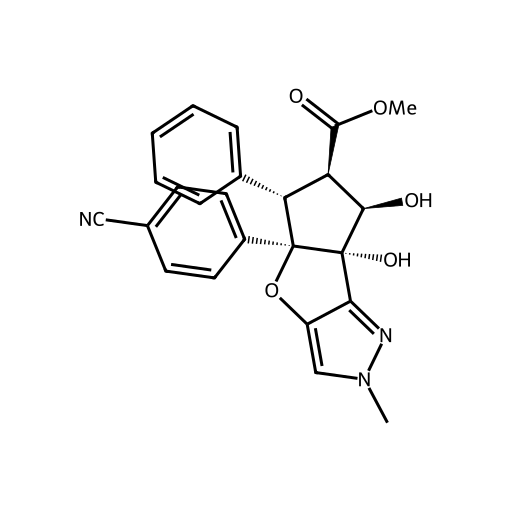 COC(=O)[C@H]1[C@@H](O)[C@@]2(O)c3nn(C)cc3O[C@@]2(c2ccc(C#N)cc2)[C@@H]1c1ccccc1